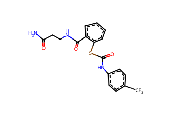 NC(=O)CCNC(=O)c1ccccc1SC(=O)Nc1ccc(C(F)(F)F)cc1